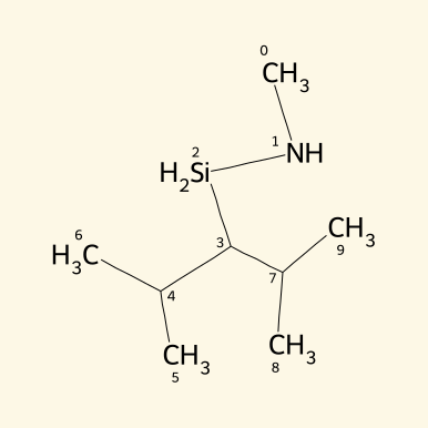 CN[SiH2]C(C(C)C)C(C)C